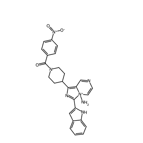 N[N+]12C=CN=CC1=C(C1CCN(C(=O)c3ccc([N+](=O)[O-])cc3)CC1)N=C2c1cc2ccccc2[nH]1